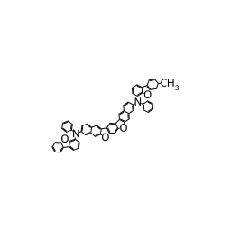 CC1C=Cc2c(oc3c(N(c4ccccc4)c4ccc5cc6c(cc5c4)oc4cc5oc7cc8cc(N(c9ccccc9)c9cccc%10c9oc9ccccc9%10)ccc8cc7c5cc46)cccc23)C1